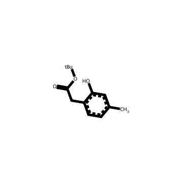 Cc1ccc(CC(=O)OC(C)(C)C)c(O)c1